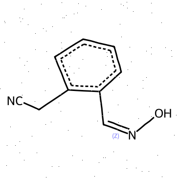 N#CCc1ccccc1/C=N\O